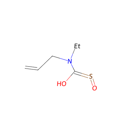 C=CCN(CC)C(O)=S=O